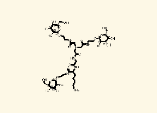 NCCCCC(NC(=O)CNC(=O)CN(CC(=O)NCCO[C@H]1O[C@H](CO)[C@@H](O)[C@H](O)[C@H]1O)CC(=O)NCCO[C@H]1O[C@H](CO)[C@@H](O)[C@H](O)[C@H]1O)C(=O)NCCO[C@H]1O[C@H](CO)[C@@H](O)[C@H](O)[C@@H]1O